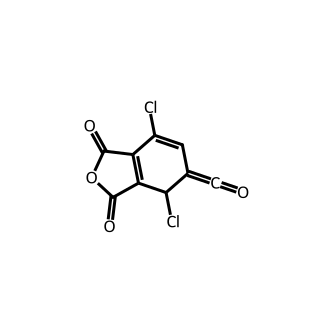 O=C=C1C=C(Cl)C2=C(C(=O)OC2=O)C1Cl